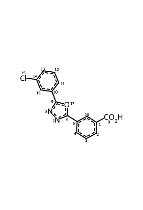 O=C(O)c1cccc(-c2nnc(-c3cccc(Cl)c3)o2)c1